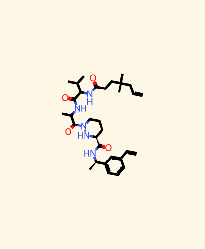 C=CCC(C)(C)CCC(=O)NC(C(=O)NC(C)C(=O)N1CCC[C@@H](C(=O)N[C@H](C)c2cccc(C=C)c2)N1)C(C)C